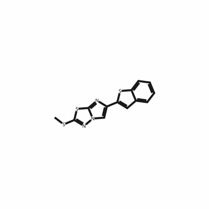 CSc1nn2cc(-c3cc4ccccc4s3)nc2s1